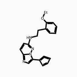 CCOc1ccccc1CCNc1ccc2ncc(C3=C=CC=C3)n2n1